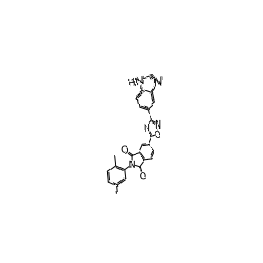 Cc1ccc(C)c(N2C(=O)c3ccc(-c4nc(-c5ccc6[nH]cnc6c5)no4)cc3C2=O)c1